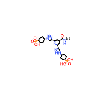 CCNC(=O)c1cc(-c2cn(-c3ccc(P(=O)(O)O)cc3)nn2)nc(-c2cn(-c3ccc(P(=O)(O)O)cc3)nn2)c1